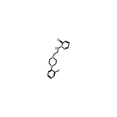 O=c1cccnn1NCCN1CCN(c2ccccc2F)CC1